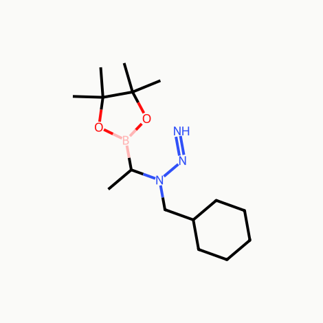 CC(B1OC(C)(C)C(C)(C)O1)N(CC1CCCCC1)N=N